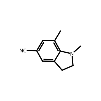 Cc1cc(C#N)cc2c1N(C)CC2